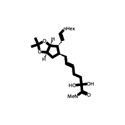 CCCCCCC=C[C@@H]1[C@@H](CC=CCCC(O)(O)C(=O)NC)C[C@H]2OC(C)(C)O[C@@H]12